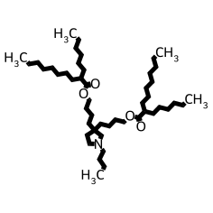 CCCCCCCCC(CCCCCC)C(=O)OCCCCC1(CCCCOC(=O)C(CCCCCC)CCCCCCCC)CCN(CCCC)C1